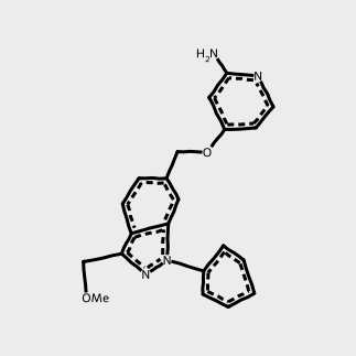 COCc1nn(-c2ccccc2)c2cc(COc3ccnc(N)c3)ccc12